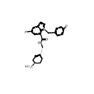 O=C(NC[C@H]1CC[C@H](C(=O)O)CC1)c1cc(F)cc2ccn(Cc3ccc(Cl)cc3)c12